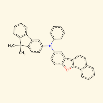 CC1(C)c2ccccc2-c2cc(N(c3ccccc3)c3ccc4oc5c6ccccc6ccc5c4c3)ccc21